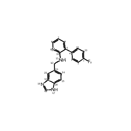 Fc1ccc(-c2cccnc2NCc2ccc3[nH]cnc3c2)cc1